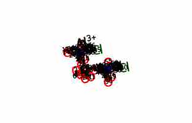 CC(=O)Oc1ccccc1C(=O)[O-].COc1ccc2c(c1)c(CC(=O)[O-])c(C)n2C(=O)c1ccc(Cl)cc1.COc1ccc2c(c1)c(CC(=O)[O-])c(C)n2C(=O)c1ccc(Cl)cc1.[Al+3]